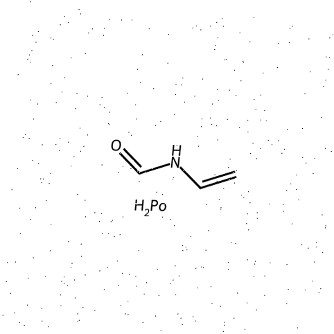 C=CNC=O.[PoH2]